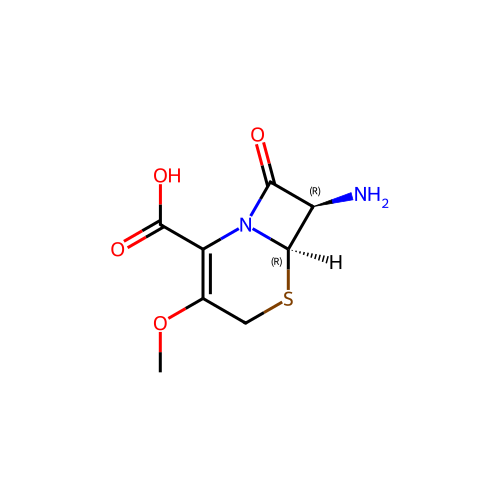 COC1=C(C(=O)O)N2C(=O)[C@@H](N)[C@H]2SC1